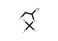 N#CC(CF)OC(F)(F)F